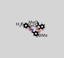 COC=C(C(=O)OC)c1ccccc1COc1cc(C=NOCc2ccc(C)cc2)ccc1OC